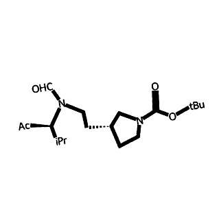 CC(=O)[C@H](C(C)C)N(C=O)CC[C@H]1CCN(C(=O)OC(C)(C)C)C1